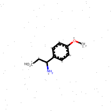 NC(CC(=O)O)c1ccc(OC(F)(F)F)cc1